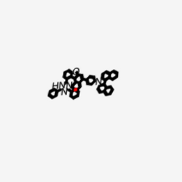 C1=CC(n2c3ccc4ccccc4c3c3c4ccccc4ccc32)CC=C1c1cc2oc3cccc(C4=NC(c5ccccc5)=NC(c5ccccc5)N4)c3c2c2ccccc12